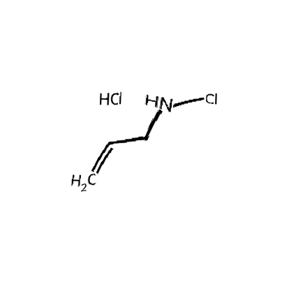 C=CCNCl.Cl